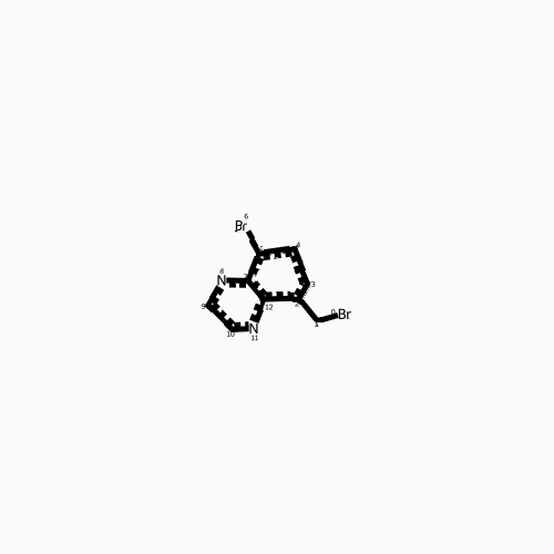 BrCc1ccc(Br)c2nccnc12